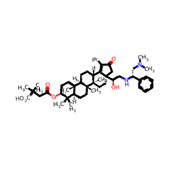 CC(C)C1=C2[C@H]3CC[C@@H]4[C@@]5(C)CC[C@H](OC(=O)CC(C)(C)C(=O)O)C(C)(C)[C@@H]5CC[C@@]4(C)[C@]3(C)CC[C@@]2([C@H](O)CN[C@H](CN(C)C)c2ccccc2)CC1=O